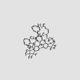 C=C/C=C\C(C)=C(/C)B1c2cc(-c3ccccc3)cc3c2-n2c4c1c1c(cc4c4cc5c(c(c42)B3c2c(C)cccc2C)C(F)(F)C(F)(F)C5(F)F)C(F)(F)C(F)(F)C1(F)F